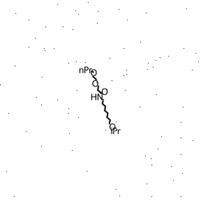 CCCOCCOCCC(=O)NCCCCCCCCOC(C)C